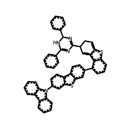 C1=c2sc3cccc(-c4ccc5c(c4)sc4cc(-n6c7ccccc7c7ccccc76)ccc45)c3c2=CC(C2=NC(c3ccccc3)NC(c3ccccc3)=N2)C1